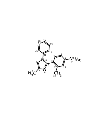 CC(=O)Nc1ccc(-c2nc(C)cn2-c2cccnc2)c(C)c1